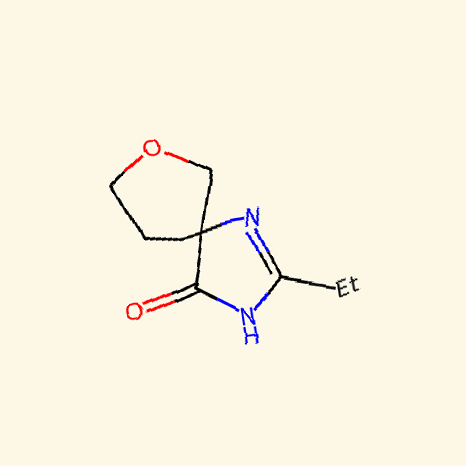 CCC1=NC2(CCOC2)C(=O)N1